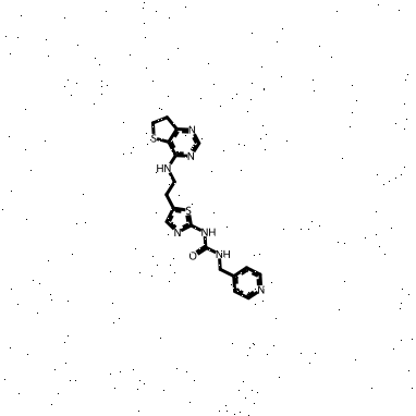 O=C(NCc1ccncc1)Nc1ncc(CCNc2ncnc3c2SCC3)s1